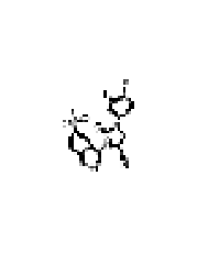 CS(=O)(=O)c1ccc2cncc(N3C(=O)N(c4ccc(F)c(F)c4)CC3C#N)c2c1